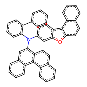 c1ccc(-c2ccccc2N(c2ccc3c(c2)oc2ccc4ccccc4c23)c2cc3ccccc3c3c2ccc2ccccc23)cc1